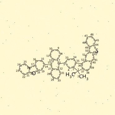 CC1(C)c2cc(-c3c4ccccc4c(-c4ccc5c(c4)oc4ccccc45)c4ccccc34)ccc2-c2c1ccc1cc3sc4ccccc4c3cc21